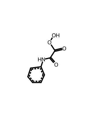 O=C(Nc1ccccc1)C(=O)OO